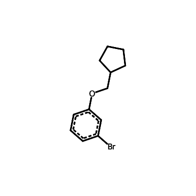 Brc1cccc(OCC2CCCC2)c1